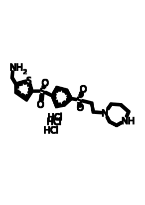 Cl.Cl.Cl.NCc1ccc(S(=O)(=O)c2ccc(S(=O)(=O)CCN3CCCNCC3)cc2)s1